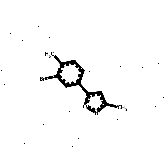 Cc1cc(-c2ccc(C)c(Br)c2)on1